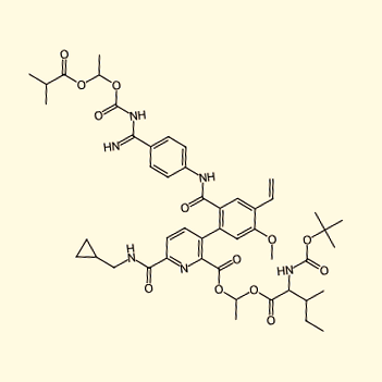 C=Cc1cc(C(=O)Nc2ccc(C(=N)NC(=O)OC(C)OC(=O)C(C)C)cc2)c(-c2ccc(C(=O)NCC3CC3)nc2C(=O)OC(C)OC(=O)C(NC(=O)OC(C)(C)C)C(C)CC)cc1OC